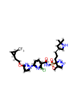 CC1=CN=NC1(CCC[C@@H]1CNC(C)(C)C1)S(=O)(=O)NC(=O)c1ccc(-n2ccc(OCCC3CC3C(F)(F)F)n2)nc1Cl